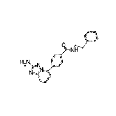 Nc1nc2cccc(-c3ccc(C(=O)NCCc4ccccc4)cc3)n2n1